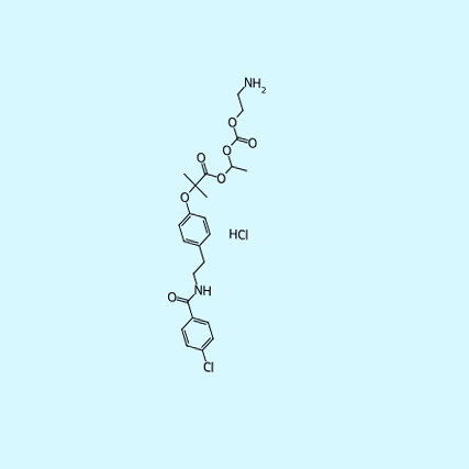 CC(OC(=O)OCCN)OC(=O)C(C)(C)Oc1ccc(CCNC(=O)c2ccc(Cl)cc2)cc1.Cl